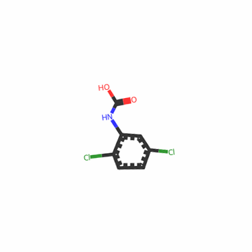 O=C(O)Nc1cc(Cl)ccc1Cl